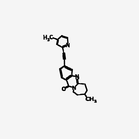 Cc1ccnc(C#Cc2ccc3c(=O)n4c(nc3c2)CCC(C)CC4)c1